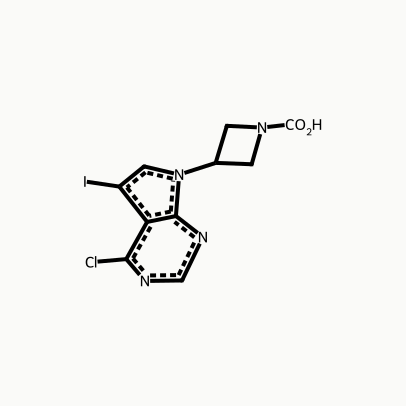 O=C(O)N1CC(n2cc(I)c3c(Cl)ncnc32)C1